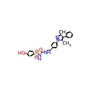 Cc1nn(-c2ccc(CCNC(=O)NS(=O)(=O)c3ccc(O)cc3)cc2)c(C)c1-c1ccccc1